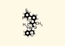 CC1=C(C(=O)N[C@H]2CCOc3ccccc32)C(C)c2cccc(-c3cc(F)cc(F)c3F)c2O1